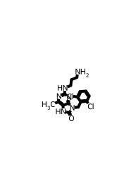 Cc1nc(NCCCN)nc2c1[nH]c(=O)n2Cc1c(Cl)cccc1Cl